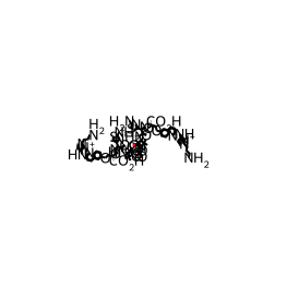 C[n+]1c(Nc2ccc3cc(OC[C@H](O/N=C(\C(=O)N[C@@H]4C(=O)N(OS(=O)(=O)ON5C(=O)[C@@H](NC(=O)/C(=N\O[C@@H](COc6ccc7nc(Nc8ccn(CCCN)[n+]8C)ccc7c6)C(=O)O)c6csc(N)n6)C5(C)C)C4(C)C)c4csc(N)n4)C(=O)O)ccc3n2)ccn1CCCN